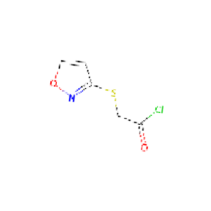 O=C(Cl)CSc1ccon1